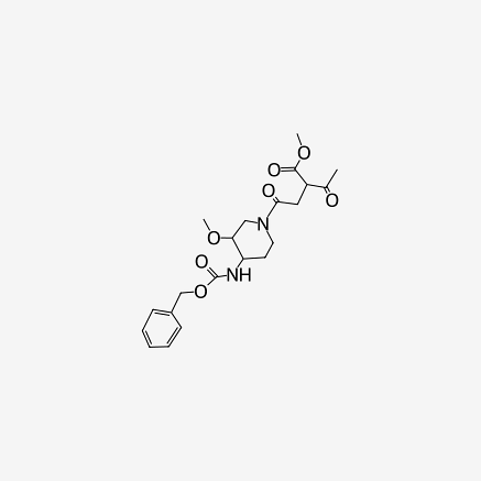 COC(=O)C(CC(=O)N1CCC(NC(=O)OCc2ccccc2)C(OC)C1)C(C)=O